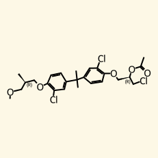 COC[C@@H](C)COc1ccc(C(C)(C)c2ccc(OC[C@H](CCl)OC(C)=O)c(Cl)c2)cc1Cl